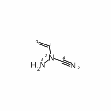 C=CN(N)C#N